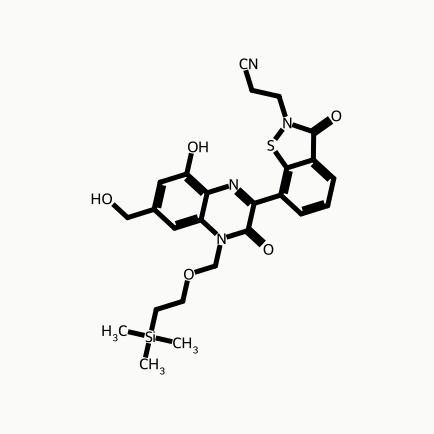 C[Si](C)(C)CCOCn1c(=O)c(-c2cccc3c(=O)n(CCC#N)sc23)nc2c(O)cc(CO)cc21